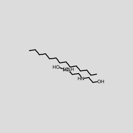 CCCCCCCCCCCCCC.O=S(=O)(O)O.OCCNCCO